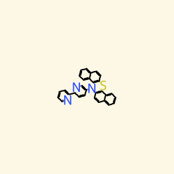 c1ccc(-c2ccc(N3c4ccc5ccccc5c4Sc4ccc5ccccc5c43)cn2)nc1